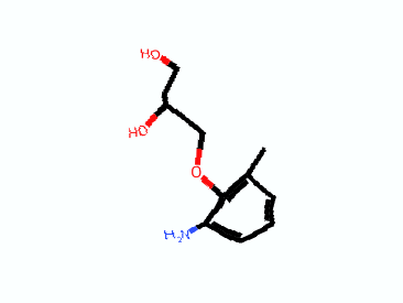 Cc1cccc(N)c1OCC(O)CO